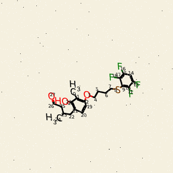 Cc1c(OCCCCSc2c(F)c(F)cc(F)c2F)ccc(CC(C)CC=O)c1O